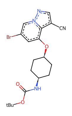 CC(C)(C)OC(=O)N[C@H]1CC[C@@H](Oc2cc(Br)cn3ncc(C#N)c23)CC1